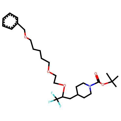 CC(C)(C)OC(=O)N1CCC(CC(OCCOCCCCCOCc2ccccc2)C(F)(F)F)CC1